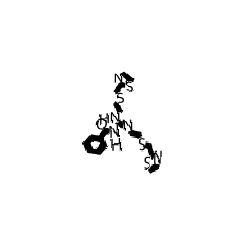 O=C(N/C(=N\CCSCc1nccs1)NCCSCc1nccs1)c1ccccc1